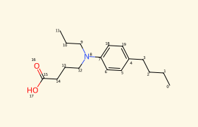 CCCCc1ccc(N(CCC)CCCC(=O)O)cc1